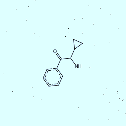 [NH]C(C(=O)c1ccccc1)C1CC1